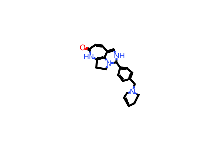 O=C1C=CC2=CNC(c3ccc(CN4CC=CCC4)cc3)N3CCC(=C23)N1